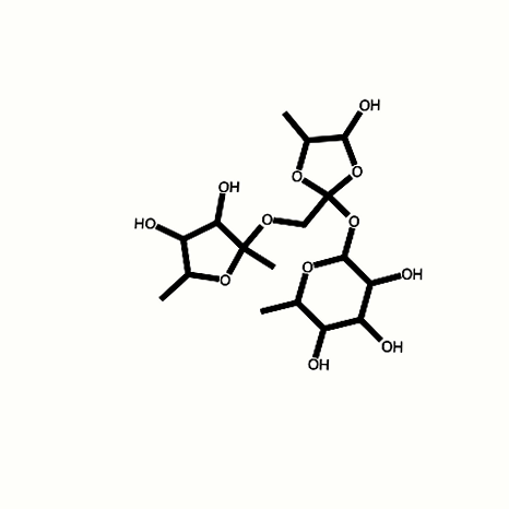 CC1OC(COC2(C)OC(C)C(O)C2O)(OC2OC(C)C(O)C(O)C2O)OC1O